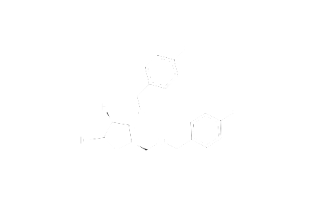 OC1S[C@H](COCc2ccc(Cl)cc2)[C@@H](OCc2ccc(Cl)cc2)[C@@H]1F